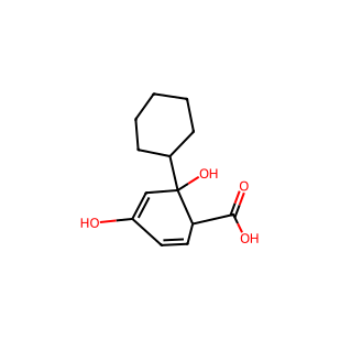 O=C(O)C1C=CC(O)=CC1(O)C1CCCCC1